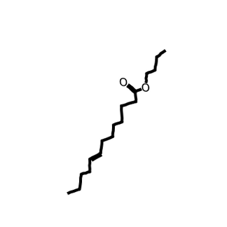 CCCC/C=C/CCCCCCC(=O)OCCCC